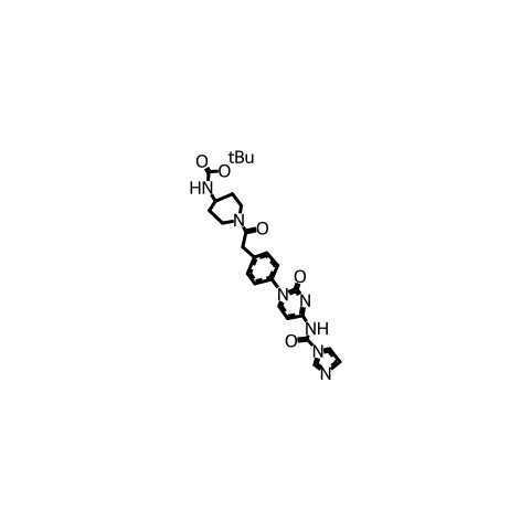 CC(C)(C)OC(=O)NC1CCN(C(=O)Cc2ccc(-n3ccc(NC(=O)n4ccnc4)nc3=O)cc2)CC1